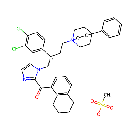 CS(=O)(=O)[O-].O=C(c1cccc2c1CCCC2)c1nccn1C[C@@H](CC[N+]12CCC(c3ccccc3)(CC1)CC2)c1ccc(Cl)c(Cl)c1